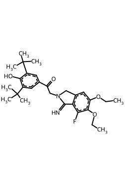 CCOc1cc2c(c(F)c1OCC)C(=N)N(CC(=O)c1cc(C(C)(C)C)c(O)c(C(C)(C)C)c1)C2